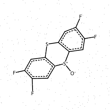 [O-][S+]1c2cc(F)c(F)cc2Sc2cc(F)c(F)cc21